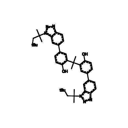 CC(C)(C)CC(C)(C)n1nnc2ccc(-c3ccc(O)c(C(C)(C)c4cc(-c5ccc6nnn(C(C)(C)CC(C)(C)C)c6c5)ccc4O)c3)cc21